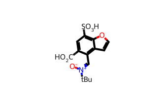 CC(C)(C)[N+]([O-])=Cc1c(C(=O)O)cc(S(=O)(=O)O)c2occc12